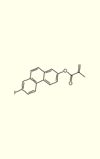 C=C(C)C(=O)Oc1ccc2c(ccc3cc(I)ccc32)c1